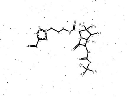 CC(C)(C)OC(=O)N[C@H]1C(=O)N2[C@H]1C(S)C(C)(C)[C@H]2C(=O)OCCCn1cc(C=O)nn1